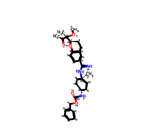 CO[C@](C)(C(C)=O)[C@H]1CCc2cc(C(=N)N[C@]3(C)CC[C@@H](NC(=O)OCc4ccccc4)CC3)ccc2O1